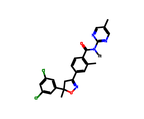 CCN(C(=O)c1ccc(C2=NOC(C)(c3cc(Cl)cc(Cl)c3)C2)cc1C)c1ncc(C)cn1